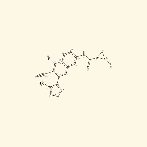 Cn1cccc1-c1cc2cc(NC(=O)C3CC3F)ncc2c(F)c1C#N